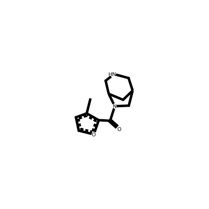 Cc1ccoc1C(=O)N1CC2CNCC1C2